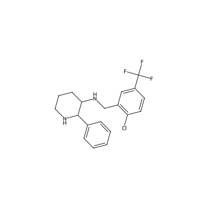 FC(F)(F)c1ccc(Cl)c(CNC2CCCNC2c2ccccc2)c1